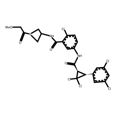 COCC(=O)N1CC(NC(=O)c2cc(NC(=O)[C@H]3[C@H](c4cc(Cl)cc(Cl)c4)C3(Cl)Cl)ccc2Cl)C1